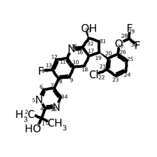 CC(C)(O)c1ncc(-c2cc3c(cc2F)N=C2C(C3)[C@H](c3c(Cl)cccc3OC(F)F)C[C@@H]2O)cn1